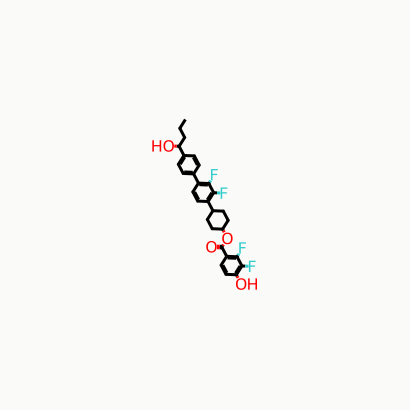 CCCC(O)c1ccc(-c2ccc(C3CCC(OC(=O)c4ccc(O)c(F)c4F)CC3)c(F)c2F)cc1